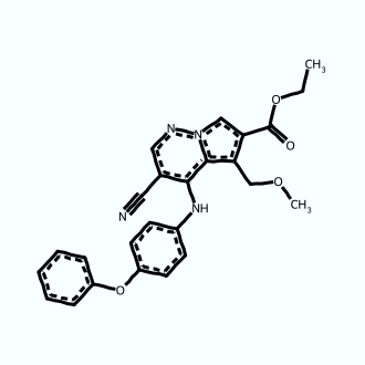 CCOC(=O)c1cn2ncc(C#N)c(Nc3ccc(Oc4ccccc4)cc3)c2c1COC